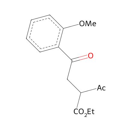 CCOC(=O)C(CC(=O)c1ccccc1OC)C(C)=O